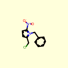 O=[N+]([O-])c1ccc(CCl)n1Cc1ccccc1